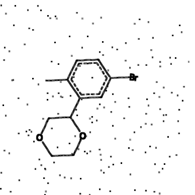 Cc1ccc(Br)cc1C1COCCO1